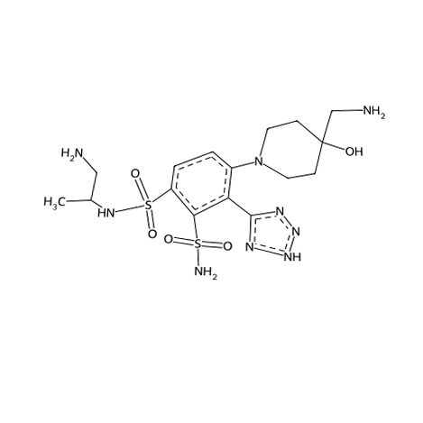 CC(CN)NS(=O)(=O)c1ccc(N2CCC(O)(CN)CC2)c(-c2nn[nH]n2)c1S(N)(=O)=O